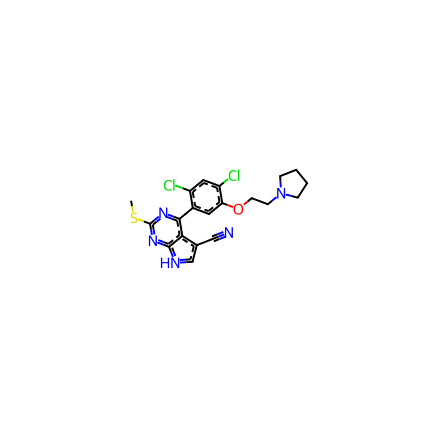 CSc1nc(-c2cc(OCCN3CCCC3)c(Cl)cc2Cl)c2c(C#N)c[nH]c2n1